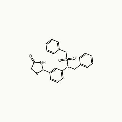 O=C1CSC(c2cccc(N(Cc3ccccc3)S(=O)(=O)Cc3ccccc3)c2)N1